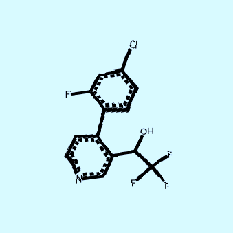 OC(c1cnccc1-c1ccc(Cl)cc1F)C(F)(F)F